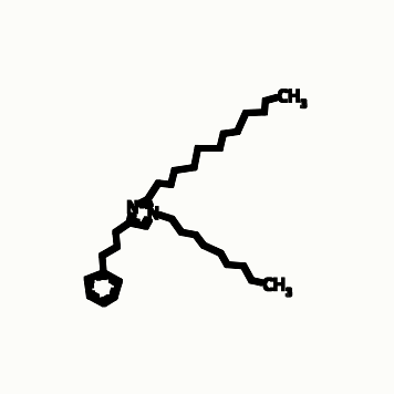 CCCCCCCCCCCCc1nc(CCCc2ccccc2)cn1CCCCCCCCC